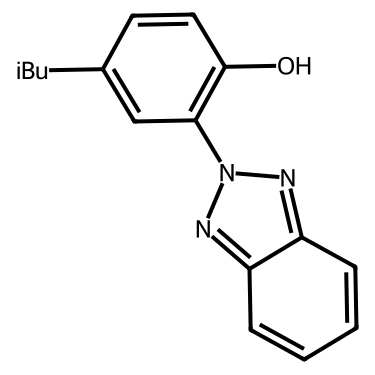 CCC(C)c1ccc(O)c(-n2nc3ccccc3n2)c1